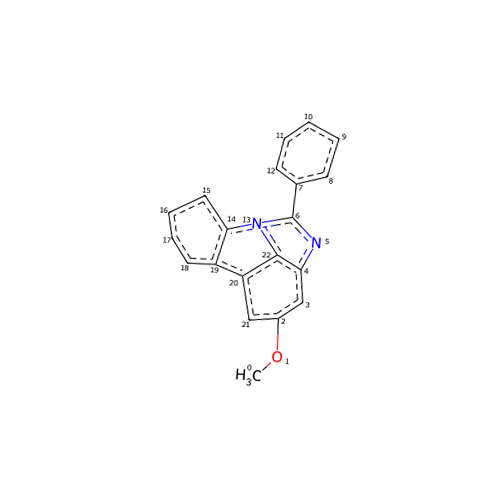 COc1cc2nc(-c3ccccc3)n3c4ccccc4c(c1)c23